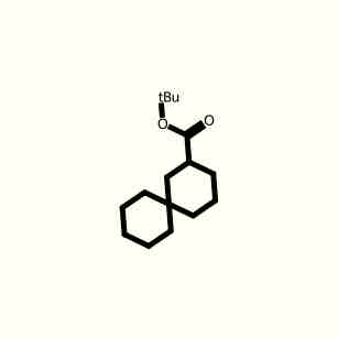 CC(C)(C)OC(=O)C1CCCC2(CCCCC2)C1